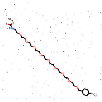 CC(C)(C)OC(=O)NCCOCCOCCOCCOCCOCCOCCOCCOCCOCC1CCC(C(=O)O)CC1